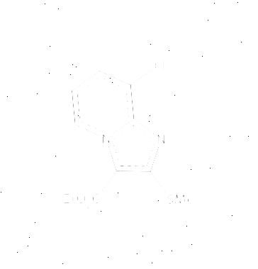 CCOC(=O)c1c(SC)nc2c(Cl)cccn12